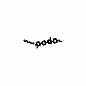 CCCCCCCOc1ccc(-c2ccc(-c3ccc(C4CCC(CCC)CC4)c(F)c3)cc2)c(F)c1F